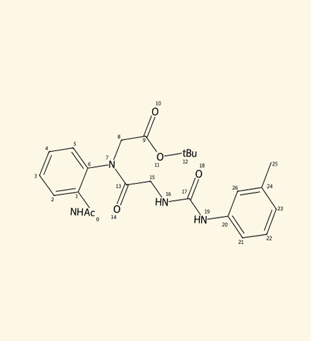 CC(=O)Nc1ccccc1N(CC(=O)OC(C)(C)C)C(=O)CNC(=O)Nc1cccc(C)c1